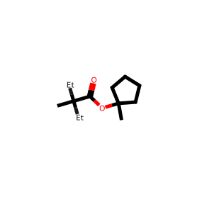 CCC(C)(CC)C(=O)OC1(C)CCCC1